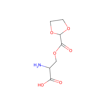 NC(COC(=O)C1OCCO1)C(=O)O